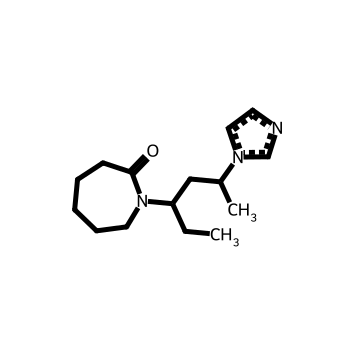 CCC(CC(C)n1ccnc1)N1CCCCCC1=O